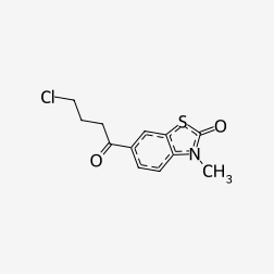 Cn1c(=O)sc2cc(C(=O)CCCCl)ccc21